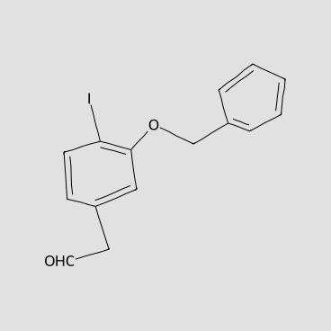 O=CCc1ccc(I)c(OCc2ccccc2)c1